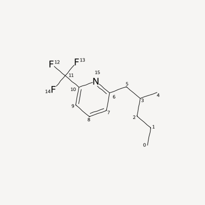 CCCC(C)Cc1cccc(C(F)(F)F)n1